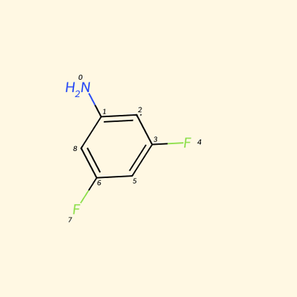 Nc1[c]c(F)cc(F)c1